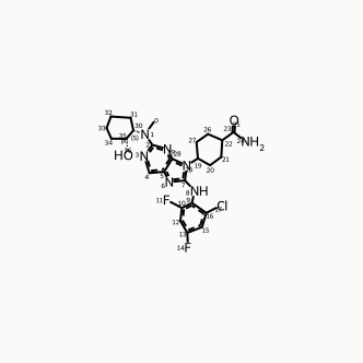 CN(c1ncc2nc(Nc3c(F)cc(F)cc3Cl)n(C3CCC(C(N)=O)CC3)c2n1)[C@H]1CCCC[C@H]1O